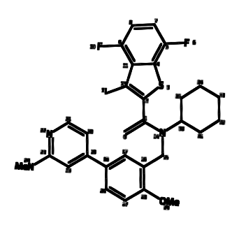 C=C(c1sc2c(F)ccc(F)c2c1C)N(Cc1cc(-c2ccnc(NC)c2)ccc1OC)C1CCCCC1